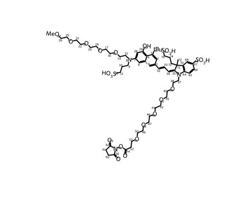 C=C(/C=C(\c1ccc(N(CCCS(=O)(=O)O)CCOCCOCCOCCOCCOC)cc1O)C(C)(C)C)/C=C/C=C1/N(CCOCCOCCOCCOCCOCCC(=O)ON2C(=O)CCC2=O)c2ccc(S(=O)(=O)O)cc2C1(C)CCCS(=O)(=O)O